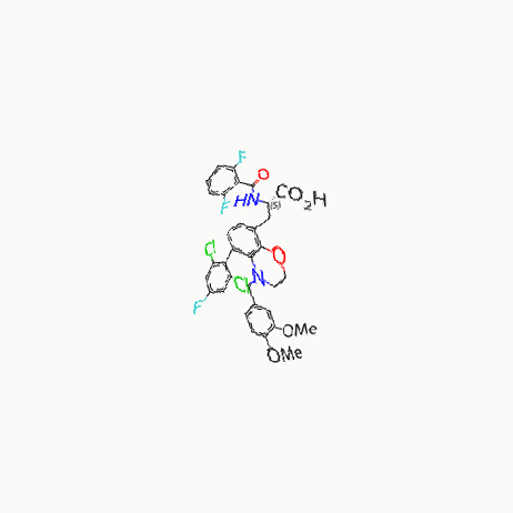 COc1ccc(CN2CCOc3c(C[C@H](NC(=O)c4c(F)cccc4F)C(=O)O)ccc(-c4c(Cl)cc(F)cc4Cl)c32)cc1OC